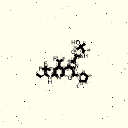 CC[C@H](Nc1cc(C(F)F)c(-c2sc(C(=O)N[C@@H](C)C(C)(C)O)nc2C(=O)N2CCC[C@@H]2C)cn1)C(F)(F)F